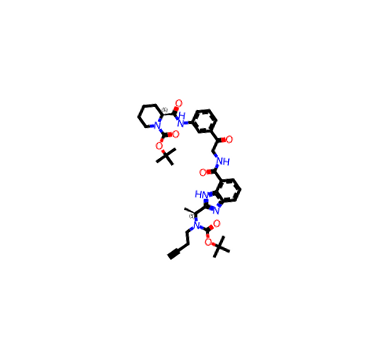 C#CCCN(C(=O)OC(C)(C)C)[C@@H](C)c1nc2cccc(C(=O)NCC(=O)c3cccc(NC(=O)[C@@H]4CCCCN4C(=O)OC(C)(C)C)c3)c2[nH]1